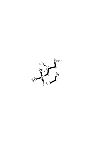 CC(C)CCl.C[N+](C)(C)C[C@H](O)CC(=O)[O-]